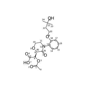 CC(=O)OC(C(=O)O)[C@H]1OCCN(c2ccccc2OCCC(C)(C)O)C1=O